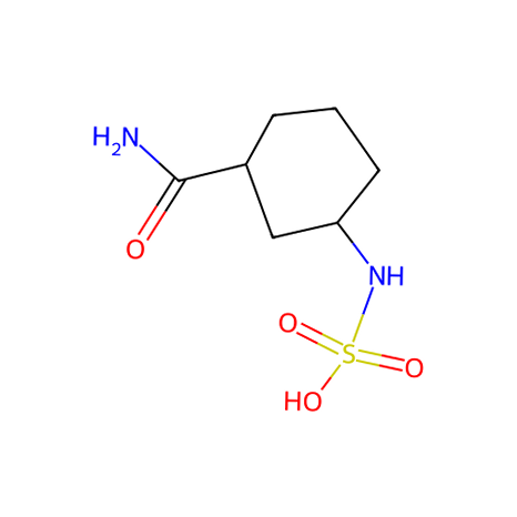 NC(=O)C1CCCC(NS(=O)(=O)O)C1